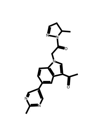 CC(=O)c1cn(CC(=O)N2N=CCC2C)c2ccc(-c3cnc(C)nc3)cc12